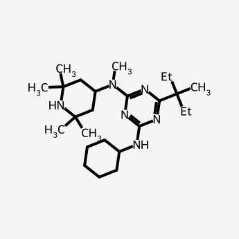 CCC(C)(CC)c1nc(NC2CCCCC2)nc(N(C)C2CC(C)(C)NC(C)(C)C2)n1